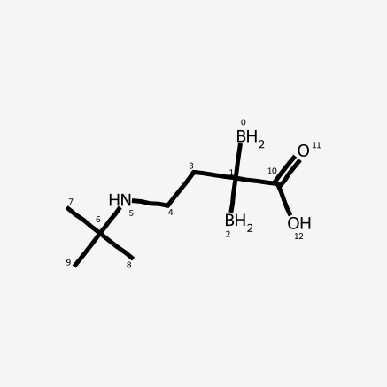 BC(B)(CCNC(C)(C)C)C(=O)O